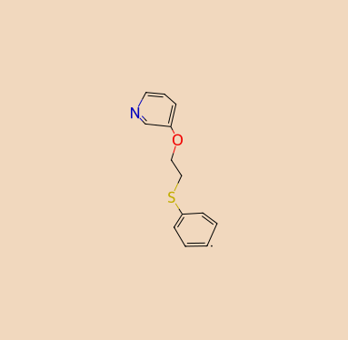 [c]1ccc(SCCOc2cccnc2)cc1